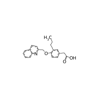 CCCc1cc(CC(=O)O)ccc1OCc1ccc2ccccc2n1